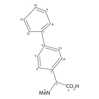 CNC(C(=O)O)c1ccc(-c2ccccc2)cc1